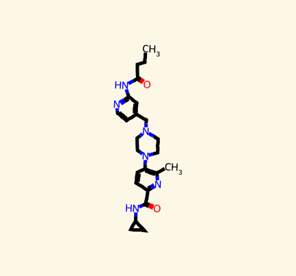 CCCC(=O)Nc1cc(CN2CCN(c3ccc(C(=O)NC4CC4)nc3C)CC2)ccn1